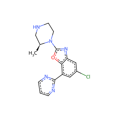 C[C@H]1CNCCN1c1nc2cc(Cl)cc(-c3ncccn3)c2o1